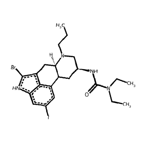 CCCN1C[C@@H](NC(=O)N(CC)CC)CC2c3cc(I)cc4[nH]c(Br)c(c34)C[C@H]21